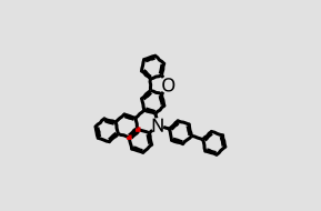 c1ccc(-c2ccc(N(c3ccccc3)c3cc4oc5ccccc5c4cc3-c3ccc4ccccc4c3)cc2)cc1